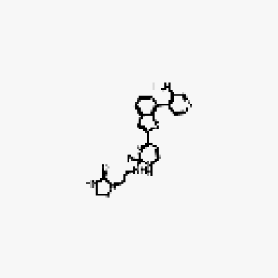 Nc1cnccc1-c1cccc2cc(C3=NC(F)(NCCN4CCNC4=O)NC=C3)sc12